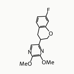 COc1ncc(C2COc3cc(F)ccc3C2)nc1OC